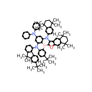 CC(C)(C)c1ccc2c(c1)B1c3oc4cc5c(cc4c3N(c3ccc4c(c3)C(C)(C)CCC4(C)C)c3cc(N(c4ccccc4)c4ccccc4)cc(c31)N2c1cccc2c1-c1ccc(C(C)(C)C)cc1C2(C)C)C(C)(C)CCC5(C)C